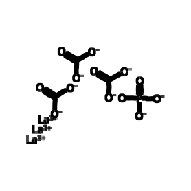 O=C([O-])[O-].O=C([O-])[O-].O=C([O-])[O-].O=P([O-])([O-])[O-].[La+3].[La+3].[La+3]